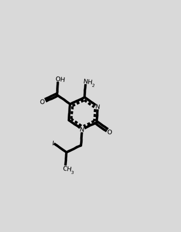 CC(I)Cn1cc(C(=O)O)c(N)nc1=O